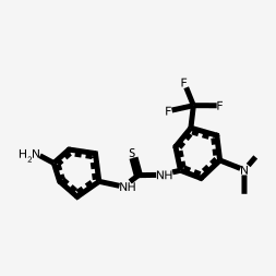 CN(C)c1cc(NC(=S)Nc2ccc(N)cc2)cc(C(F)(F)F)c1